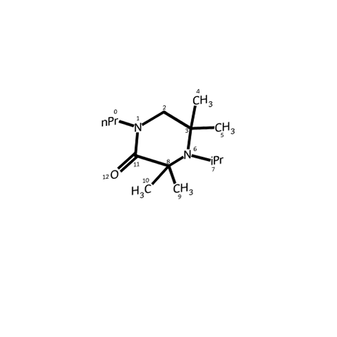 CCCN1CC(C)(C)N(C(C)C)C(C)(C)C1=O